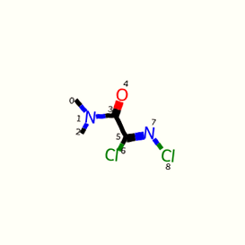 CN(C)C(=O)C(Cl)=NCl